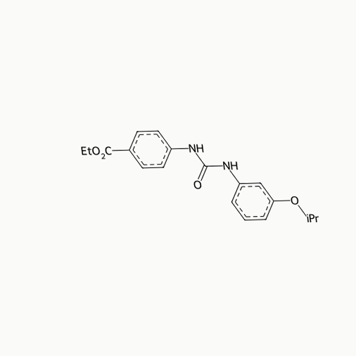 CCOC(=O)c1ccc(NC(=O)Nc2cccc(OC(C)C)c2)cc1